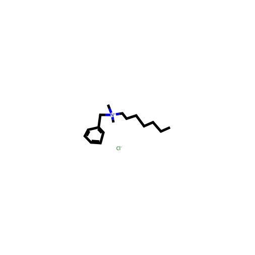 CCCCCCC[N+](C)(C)Cc1ccccc1.[Cl-]